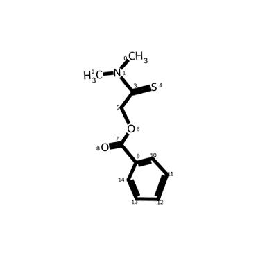 CN(C)C(=S)COC(=O)c1ccccc1